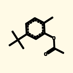 CC(=O)Oc1cc(C(C)(C)C)ccc1C